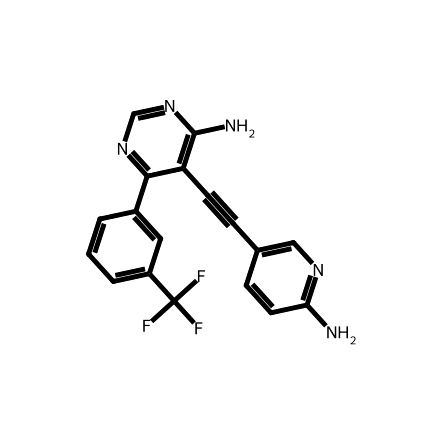 Nc1ccc(C#Cc2c(N)ncnc2-c2cccc(C(F)(F)F)c2)cn1